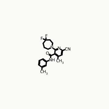 Cc1cccc(NC(=O)c2c(C)cc(C#N)nc2N2CCCC(F)(F)CC2)c1